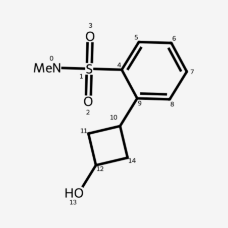 CNS(=O)(=O)c1ccccc1C1CC(O)C1